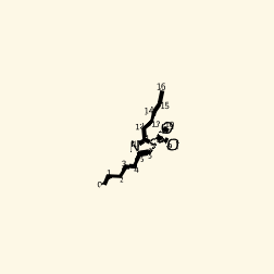 CCCCCC1=CS(=S(=O)=O)C(CCCCC)=N1